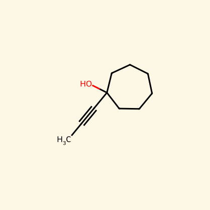 CC#CC1(O)CCCCCC1